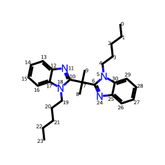 CCCCCn1c(C(C)(C)c2nc3ccccc3n2CCCCC)nc2ccccc21